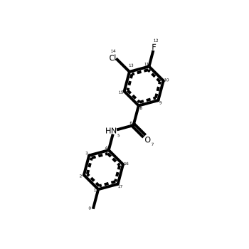 Cc1ccc(NC(=O)c2ccc(F)c(Cl)c2)cc1